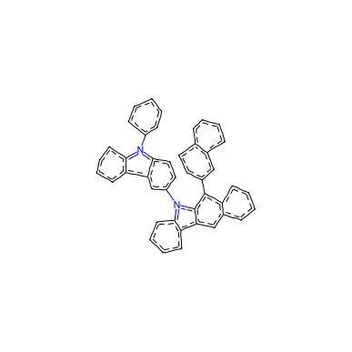 c1ccc(-n2c3ccccc3c3cc(-n4c5ccccc5c5cc6ccccc6c(-c6ccc7ccccc7c6)c54)ccc32)cc1